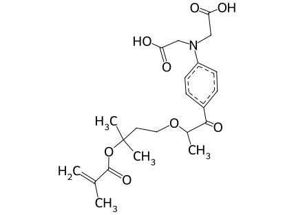 C=C(C)C(=O)OC(C)(C)CCOC(C)C(=O)c1ccc(N(CC(=O)O)CC(=O)O)cc1